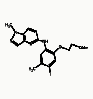 COCCOc1cc(I)c(C)cc1Nc1ccc2c(cnn2C)n1